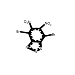 O=[N+]([O-])c1c([N+](=O)[O-])c(Br)c2snnc2c1Br